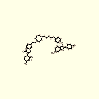 O=C1CCC(N2Cc3cc(CCN4CCCN(CCCCCc5ccc(Oc6c(-c7ccc(Br)cc7)sc7cc(O)ccc67)cc5)CC4)ccc3C2=O)C(=O)N1